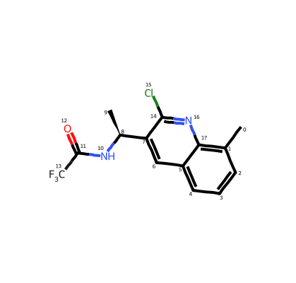 Cc1cccc2cc([C@H](C)NC(=O)C(F)(F)F)c(Cl)nc12